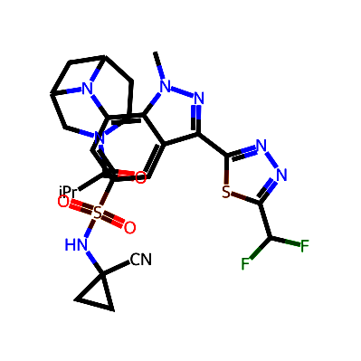 CC(C)C(=O)N1CCC2CC(C1)N2c1cc(S(=O)(=O)NC2(C#N)CC2)cc2c(-c3nnc(C(F)F)s3)nn(C)c12